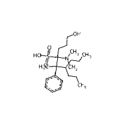 CCCC(CCC)C(C)(c1ccccc1)C(CCCO)(N(C)C)S(=O)(=O)O